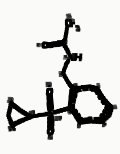 O=C(NCc1ccccc1S(=O)(=O)C1CC1)C(F)(F)F